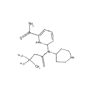 CC(C)(C)CC(=O)N(C1CCNCC1)C1C=C[C]=C(C(N)=O)N1